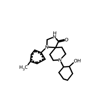 Cc1ccc(N2CNC(=O)C23CCN(C2CCCCC2O)CC3)cc1